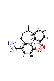 CC1CCc2c([C@H](C)N)ccc(O)c2-c2c(O)cccc21